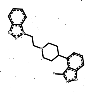 Fc1noc2cccc(C3CCN(CCn4nnc5ccccc54)CC3)c12